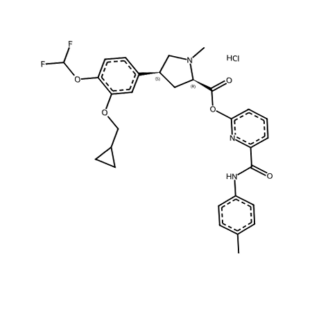 Cc1ccc(NC(=O)c2cccc(OC(=O)[C@H]3C[C@@H](c4ccc(OC(F)F)c(OCC5CC5)c4)CN3C)n2)cc1.Cl